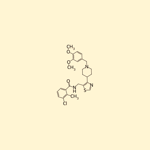 COc1ccc(CN2CCC(c3ncsc3CNC(=O)c3cccc(Cl)c3C)CC2)cc1OC